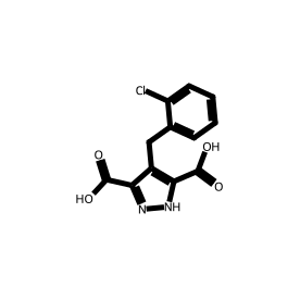 O=C(O)c1n[nH]c(C(=O)O)c1Cc1ccccc1Cl